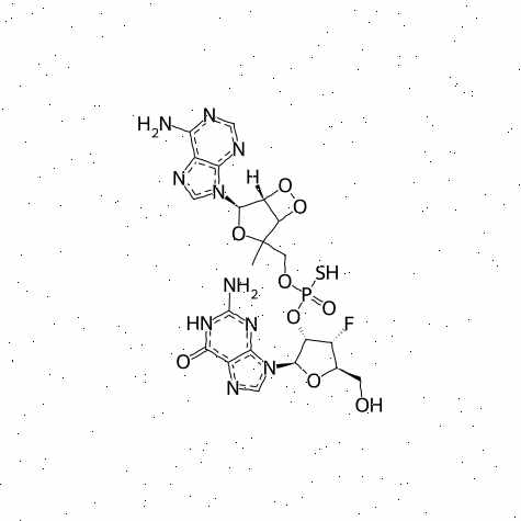 CC1(COP(=O)(S)O[C@@H]2[C@H](F)[C@@H](CO)O[C@H]2n2cnc3c(=O)[nH]c(N)nc32)O[C@@H](n2cnc3c(N)ncnc32)[C@@H]2OOC21